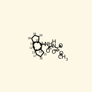 COS(=O)(=O)NC(=O)Nc1c2c(cc3c1CCC3)CCC2